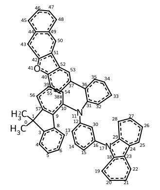 CC1(C)c2ccccc2-c2c(N(c3cccc(-n4c5ccccc5c5ccccc54)c3)c3ccccc3-c3ccc4oc5cc6ccccc6cc5c4c3)cccc21